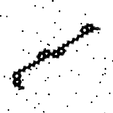 CC(C)(C)c1ccc2c(c1)CN(CCCCCCCCN1COc3ccc(-c4ccc5c(c4)CN(CCCCCCCCN4COc6ccc(C(C)(C)C)cc6C4)CO5)cc3C1)CO2